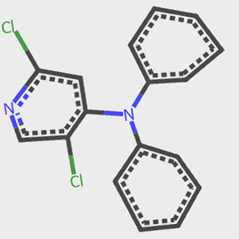 Clc1cc(N(c2ccccc2)c2ccccc2)c(Cl)cn1